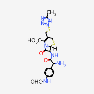 Cc1nnn(SCC2=C(C(=O)O)N3C(=O)C(NC(=O)C(N)c4ccc(NC=O)cc4)[C@H]3SC2)n1